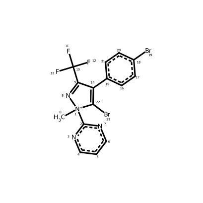 C[N+]1(c2ncccn2)N=C(C(F)(F)F)C(c2ccc(Br)cc2)=C1Br